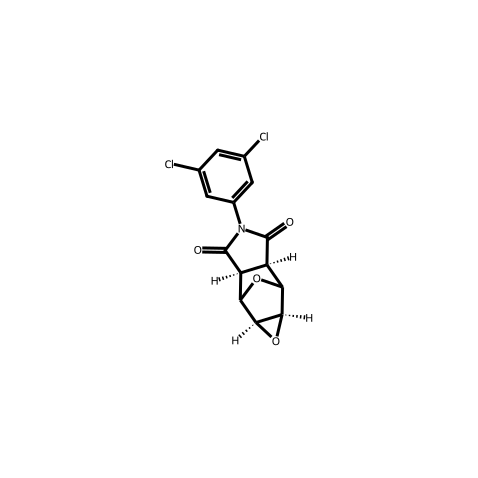 O=C1[C@@H]2C3OC([C@H]4O[C@@H]34)[C@@H]2C(=O)N1c1cc(Cl)cc(Cl)c1